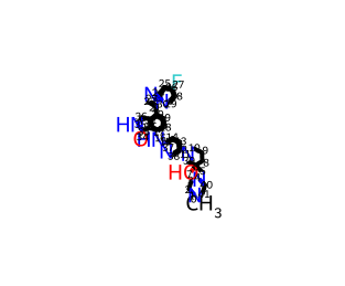 CN1CCN(CC2(O)CCCN(c3ccc(Nc4ccc(-c5cnc6cc(F)ccn56)c5c4C(=O)NC5)nc3)C2)CC1